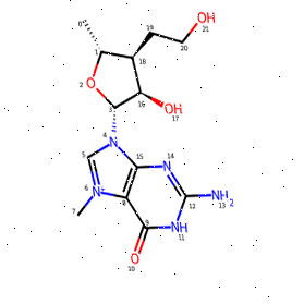 C[C@H]1O[C@@H](n2c[n+](C)c3c(=O)[nH]c(N)nc32)[C@H](O)[C@@H]1CCO